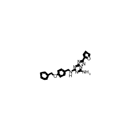 Nc1nc(NCc2ccc(OCc3ccccc3)cc2)nc2nc(-c3ccco3)nn12